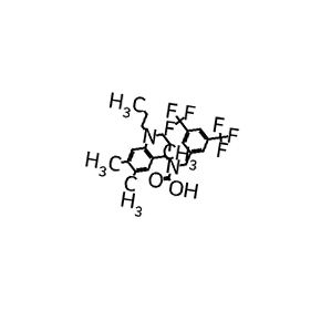 CCCN(CCC)c1cc(C)c(C)cc1CN(Cc1cc(C(F)(F)F)cc(C(F)(F)F)c1)C(=O)O